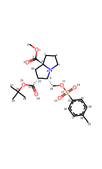 COC(=O)[C@@]12CCCN1[C@H](COS(=O)(=O)c1ccc(C)cc1)[C@H](C(=O)OC(C)(C)C)C2